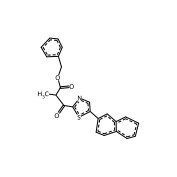 CC(C(=O)OCc1ccccc1)C(=O)c1ncc(-c2ccc3ccccc3c2)s1